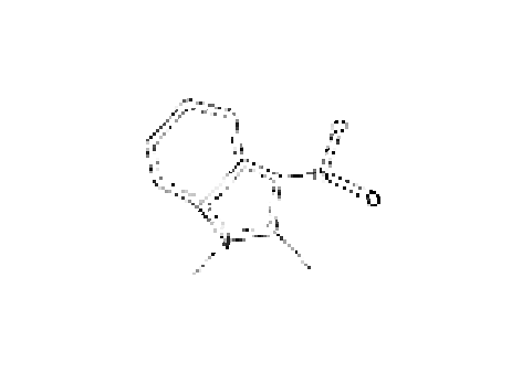 Cc1c([SH](=O)=O)c2ccccc2n1C